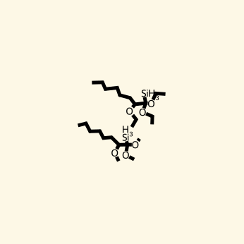 CCCCCCC(OC)C([SiH3])(OC)OC.CCCCCCC(OCC)C([SiH3])(OCC)OCC